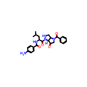 CC(C)CC(NC(=O)c1ccc(N)cc1)C(=O)N1NCC2[C@H]1C(=O)CN2C(=O)c1ccccc1